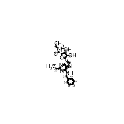 CCNC(=O)[C@H]1O[C@@H](n2cnc3c(NCc4ccccc4)nc(CC)nc32)[C@H](O)[C@@H]1O